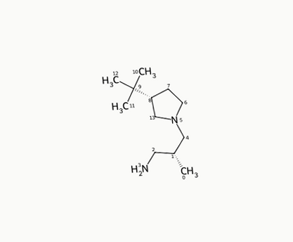 C[C@H](CN)CN1CC[C@@H](C(C)(C)C)C1